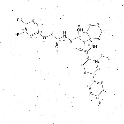 CCN1CC(c2ccc(F)cc2)CCC1C(=O)NC1(CC(O)CNC(=O)COc2ccc(Cl)c(F)c2)CCCCC1